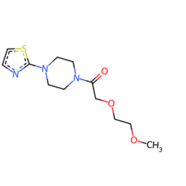 COCCOCC(=O)N1CCN(c2nccs2)CC1